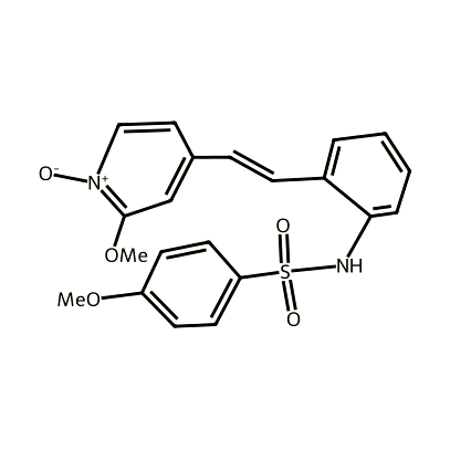 COc1ccc(S(=O)(=O)Nc2ccccc2C=Cc2cc[n+]([O-])c(OC)c2)cc1